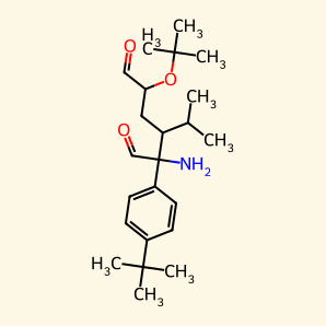 CC(C)C(CC(C=O)OC(C)(C)C)C(N)(C=O)c1ccc(C(C)(C)C)cc1